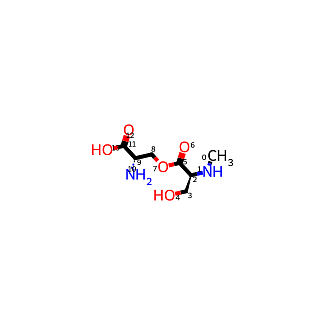 CN[C@@H](CO)C(=O)OC[C@H](N)C(=O)O